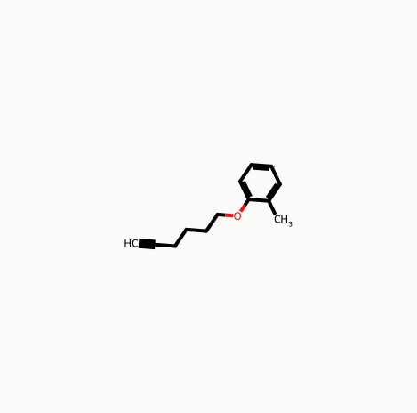 C#CCCCCOc1cc[c]cc1C